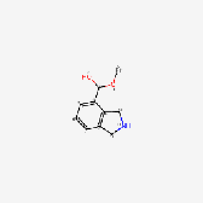 CCOC(O)c1cccc2c1CNC2